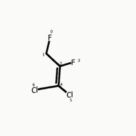 FCC(F)=C(Cl)Cl